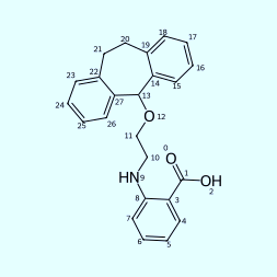 O=C(O)c1ccccc1NCCOC1c2ccccc2CCc2ccccc21